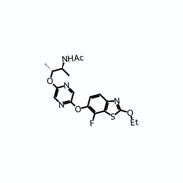 CCOc1nc2ccc(Oc3cnc(O[C@H](C)[C@H](C)NC(C)=O)cn3)c(F)c2s1